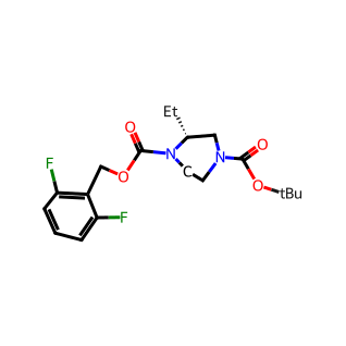 CC[C@@H]1CN(C(=O)OC(C)(C)C)CCN1C(=O)OCc1c(F)cccc1F